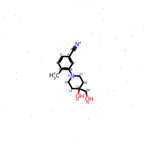 Cc1ccc(C#N)cc1N1CCC(O)(CO)CC1